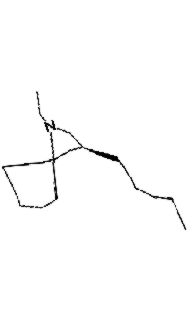 CCCC[C@@H]1N(C)C12CCC2